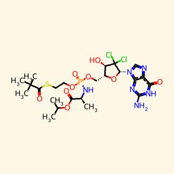 CC(C)OC(=O)[C@H](C)N[P@](=O)(OCCSC(=O)C(C)(C)C)OC[C@H]1O[C@@H](n2cnc3c(=O)[nH]c(N)nc32)C(Cl)(Cl)[C@@H]1O